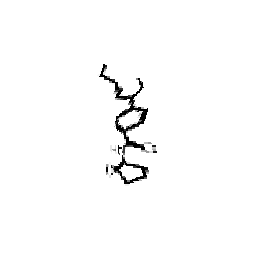 CCCCC(CC)c1ccc(C(=O)NC2CCCC2=O)cc1